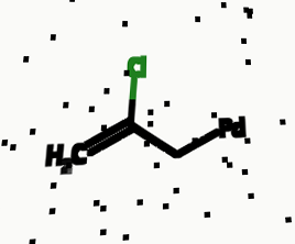 C=C(Cl)[CH2][Pd]